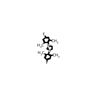 Cc1cc(F)cc(C)c1N1C=[N+](c2c(C)cc(F)cc2C)CC1